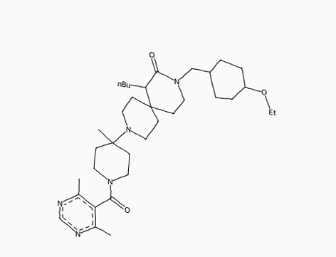 CCCCC1C(=O)N(CC2CCC(OCC)CC2)CCC12CCN(C1(C)CCN(C(=O)c3c(C)ncnc3C)CC1)CC2